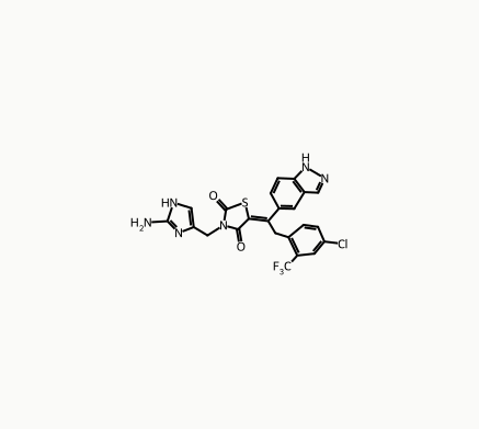 Nc1nc(CN2C(=O)S/C(=C(/Cc3ccc(Cl)cc3C(F)(F)F)c3ccc4[nH]ncc4c3)C2=O)c[nH]1